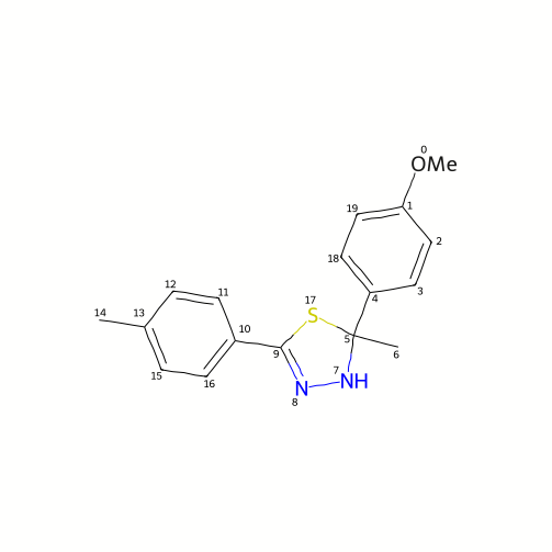 COc1ccc(C2(C)NN=C(c3ccc(C)cc3)S2)cc1